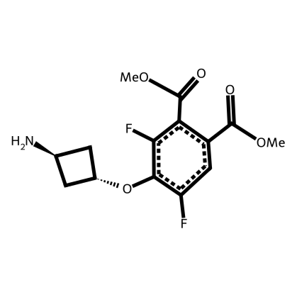 COC(=O)c1cc(F)c(O[C@H]2C[C@H](N)C2)c(F)c1C(=O)OC